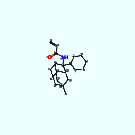 C=CC(=O)NC1(C2CCCCC2)C2CC3CC1CC(C)(C3)C2